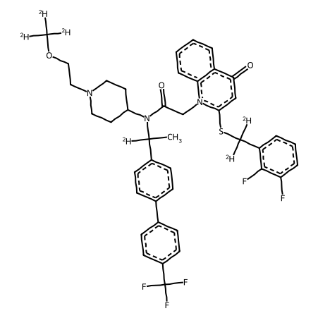 [2H]C([2H])([2H])OCCN1CCC(N(C(=O)Cn2c(SC([2H])([2H])c3cccc(F)c3F)cc(=O)c3ccccc32)C([2H])(C)c2ccc(-c3ccc(C(F)(F)F)cc3)cc2)CC1